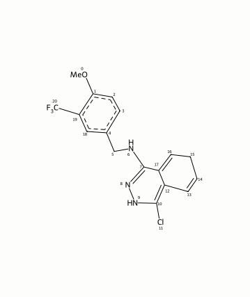 COc1ccc(CNC2=NNC(Cl)=C3C=CCC=C23)cc1C(F)(F)F